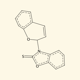 S=c1oc2ccccc2n1C1C=Cc2ccccc2O1